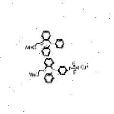 COCOc1ccccc1P(c1ccccc1)c1ccccc1.COCOc1ccccc1P(c1ccccc1)c1ccccc1.F[B-](F)(F)F.[Cu+]